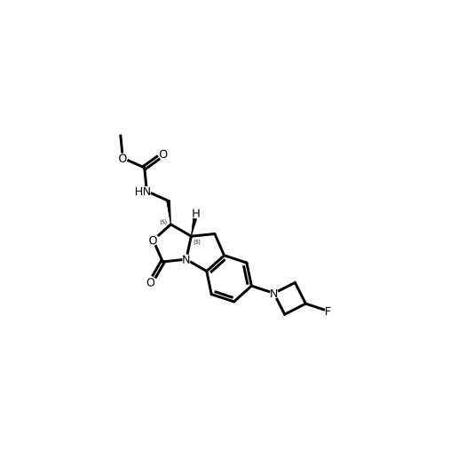 COC(=O)NC[C@@H]1OC(=O)N2c3ccc(N4CC(F)C4)cc3C[C@@H]12